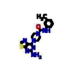 Cc1cccc(NC(=O)N2CCN(c3nc(N)nc4scnc34)CC2)c1